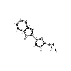 CNc1nc(-c2cc3ccccc3o2)cs1